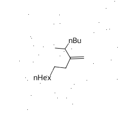 C=C(CCCCCCCC)C(C)CCCC